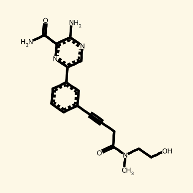 CN(CCO)C(=O)CC#Cc1cccc(-c2cnc(N)c(C(N)=O)n2)c1